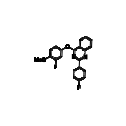 COc1ccc(Oc2nc(-c3ccc(F)cc3)nc3ccccc23)cc1F